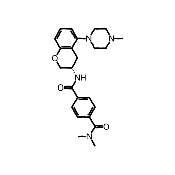 CN1CCN(c2cccc3c2C[C@H](NC(=O)c2ccc(C(=O)N(C)C)cc2)CO3)CC1